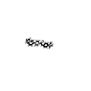 O=C(Cc1ccc(S(F)(F)F)cc1)N1CCN(c2ccc3nncn3n2)CC1